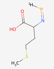 [1H]/P=N\C(CCSC)C(=O)O